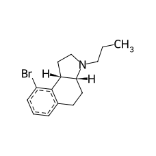 CCCN1CC[C@H]2c3c(Br)cccc3CC[C@H]21